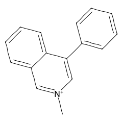 C[n+]1cc(-c2ccccc2)c2ccccc2c1